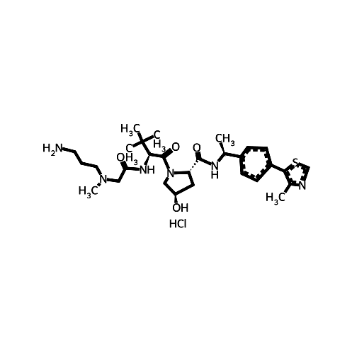 Cc1ncsc1-c1ccc([C@H](C)NC(=O)[C@@H]2C[C@@H](O)CN2C(=O)[C@@H](NC(=O)CN(C)CCCN)C(C)(C)C)cc1.Cl